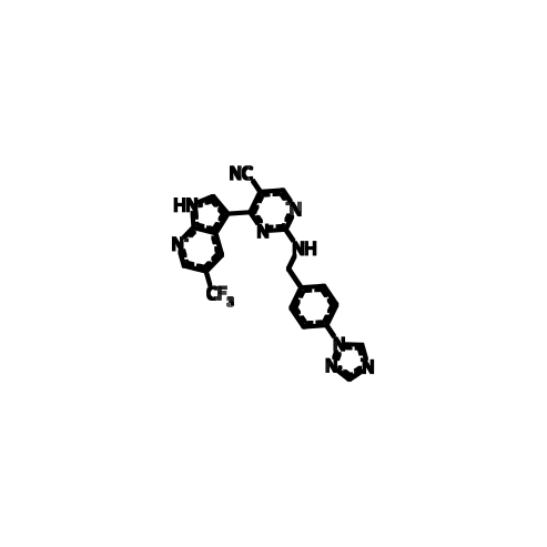 N#Cc1cnc(NCc2ccc(-n3cncn3)cc2)nc1-c1c[nH]c2ncc(C(F)(F)F)cc12